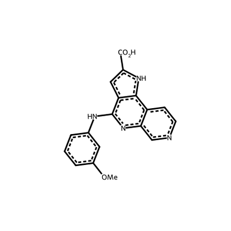 COc1cccc(Nc2nc3cnccc3c3[nH]c(C(=O)O)cc23)c1